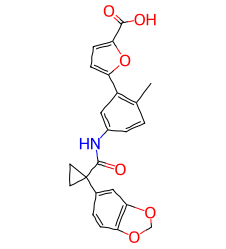 Cc1ccc(NC(=O)C2(c3ccc4c(c3)OCO4)CC2)cc1-c1ccc(C(=O)O)o1